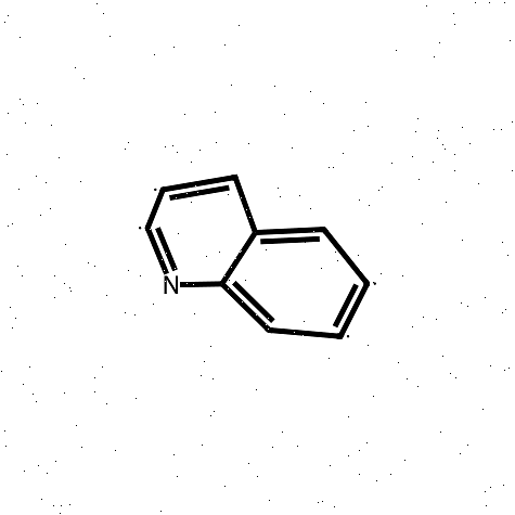 [c]1[c]cc2n[c][c]cc2c1